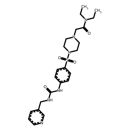 CCN(CC)C(=O)CN1CCN(S(=O)(=O)c2ccc(NC(=O)NCc3cccnc3)cc2)CC1